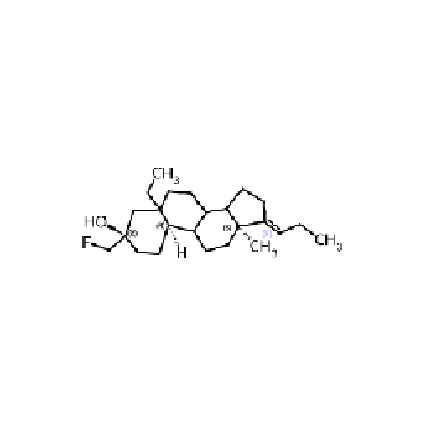 CC/C=C1\CCC2C3CCC4(CC)C[C@@](O)(CF)CC[C@@H]4C3CC[C@]12C